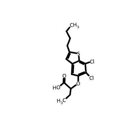 CCCCc1cc2cc(OC(CC)C(=O)O)c(Cl)c(Cl)c2s1